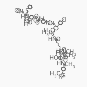 Cc1ncsc1-c1ccc([C@H](C)NC(=O)[C@@H]2C[C@@H](O)CN2C(=O)[C@@H](NC(=O)CCCCCC(=O)NCCN(C)CC2(C)CCC(c3ccc(Cl)cc3)=C(CN3CCN(c4ccc(C(=O)NS(=O)(=O)c5ccc(N[C@H](CCN6CCOCC6)CSc6ccccc6)c(S(=O)(=O)C(F)(F)F)c5)cc4)CC3)C2)C(C)(C)C)cc1